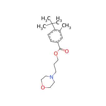 Cc1cc(C(=O)OCCCN2CCOCC2)ccc1C(C)(C)C